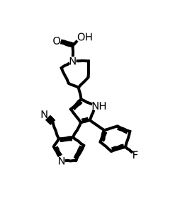 N#Cc1cnccc1-c1cc(C2CCN(C(=O)O)CC2)[nH]c1-c1ccc(F)cc1